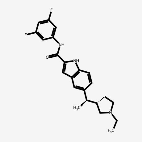 C[C@@H](c1ccc2[nH]c(C(=O)Nc3cc(F)cc(F)c3)cc2c1)[C@@H]1CCN(CC(F)(F)F)C1